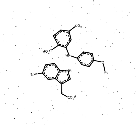 CCOc1ccc(Nc2cc([N+](=O)[O-])ccc2C(=O)O)cc1.O=C(O)Cc1c[nH]c2ccc(Br)cc12